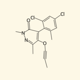 CC#COc1c(C)nn(C)c(=O)c1-c1c(C)cc(Cl)cc1Cl